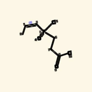 C/C=C\P(=O)(Cl)CCC(=O)Cl